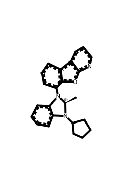 C[C@@H]1N(c2cccc3c2oc2ncccc23)c2ccccc2N1C1CCCC1